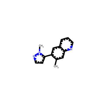 Cc1cc2ncccc2cc1-c1ccnn1C